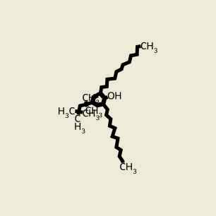 CCCCCCCCCCCCc1cc(C(C)(C)CC(C)(C)C)cc(CCCCCCCCCCCC)c1O